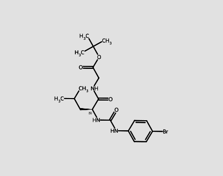 CC(C)C[C@H](NC(=O)Nc1ccc(Br)cc1)C(=O)NCC(=O)OC(C)(C)C